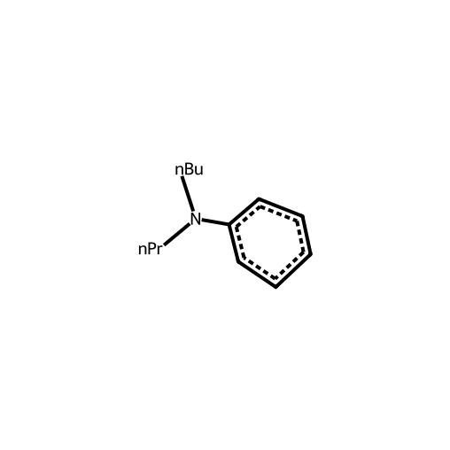 [CH2]CCCN(CCC)c1ccccc1